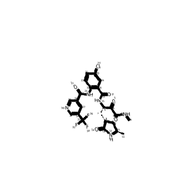 CNC(=O)C(=O)[C@H](C[C@@H]1C[C@@H](C)NC1=O)NC(=O)c1cc(Cl)ccc1NC(=O)c1cncc(C(F)(F)F)c1